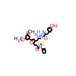 COc1cc(OC)cc(-c2cc(CCCNC(=O)[C@@H](N)Cc3ccc(O)cc3)c(/C=C3\SC(=S)N(C4CC5CCC4C5)C3=O)o2)c1